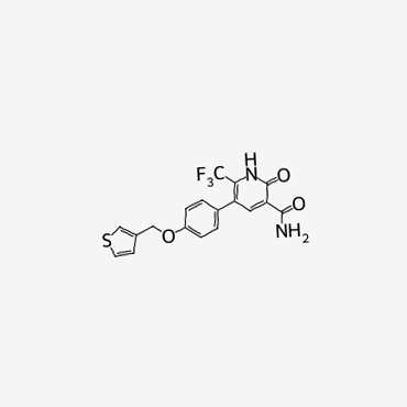 NC(=O)c1cc(-c2ccc(OCc3ccsc3)cc2)c(C(F)(F)F)[nH]c1=O